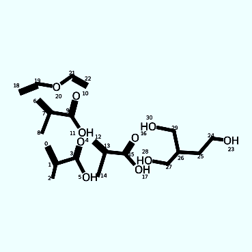 C=C(C)C(=O)O.C=C(C)C(=O)O.C=C(C)C(=O)O.C=COC=C.OCCC(CO)CO